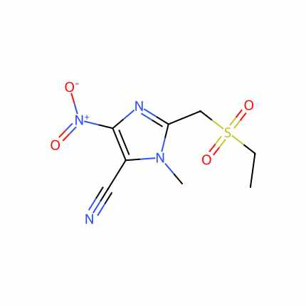 CCS(=O)(=O)Cc1nc([N+](=O)[O-])c(C#N)n1C